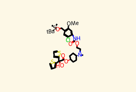 COc1cc(NC(=O)OCCN(C)[C@H]2CC[C@H](OC(=O)C(O)(c3cccs3)c3cccs3)CC2)c(Cl)cc1CO[Si](C)(C)C(C)(C)C